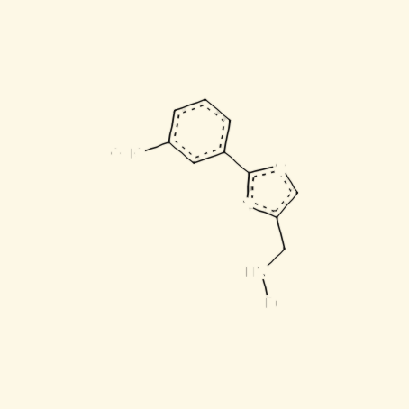 CCNCc1coc(-c2cccc(C=O)c2)n1